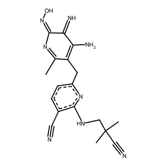 CC1=N/C(=N/O)C(=N)C(N)=C1Cc1ccc(C#N)c(NCC(C)(C)C#N)n1